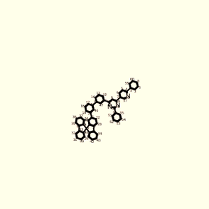 c1ccc(-c2ccc(-c3cc(-c4cccc(-c5cccc(-c6ccc7c(c6)C6(c8ccccc8-c8ccccc86)c6ccccc6-7)c5)c4)nc(-c4ccccc4)n3)cn2)cc1